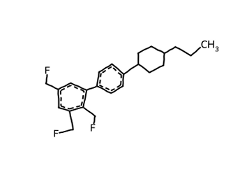 CCCC1CCC(c2ccc(-c3cc(CF)cc(CF)c3CF)cc2)CC1